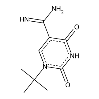 CC(C)(C)n1cc(C(=N)N)c(=O)[nH]c1=O